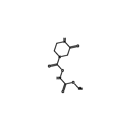 CC(C)(C)OC(=O)NOC(=O)N1CCNC(=O)C1